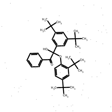 CC(C)(C)c1cc(C(C)(C)C)cc(C(O)(Oc2ccc(C(C)(C)C)cc2C(C)(C)C)C(=O)c2ccccc2)c1